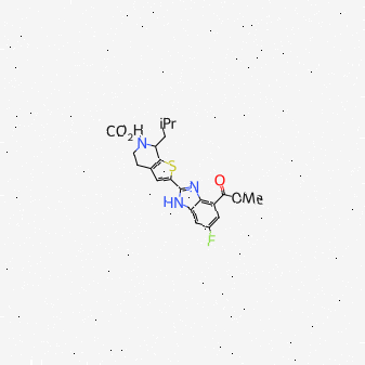 COC(=O)c1cc(F)cc2[nH]c(-c3cc4c(s3)C(CC(C)C)N(C(=O)O)CC4)nc12